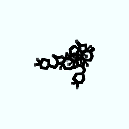 C=C1CC[C@H]2C(CN3CCC(F)(F)CC3)C(=O)O[C@@H]2[C@@H]2[C@H]1C[C@@]1(O)[C@]2(O)CC[C@]12C(=O)C[C@H]1C(=C)CC[C@H]3C(CN4CCC(F)(F)CC4)C(=O)O[C@@H]3[C@H]12